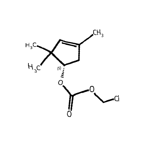 CC1=CC(C)(C)[C@@H](OC(=O)OCCl)C1